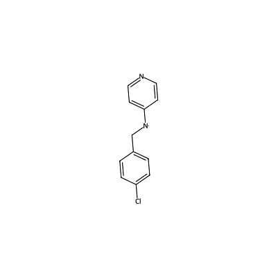 Clc1ccc(C[N]c2ccncc2)cc1